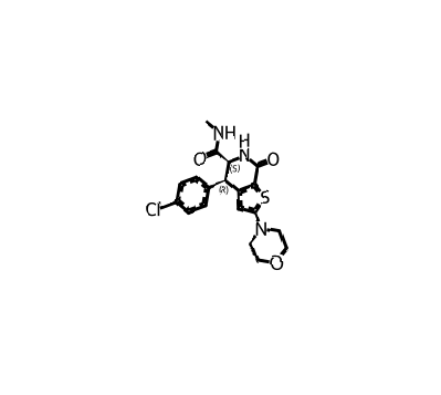 CNC(=O)[C@H]1NC(=O)c2sc(N3CCOCC3)cc2[C@H]1c1ccc(Cl)cc1